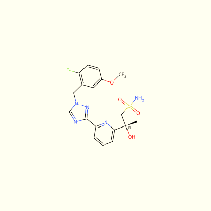 C[C@](O)(CS(N)(=O)=O)c1cccc(-c2ncn(Cc3cc(OC(F)(F)F)ccc3F)n2)n1